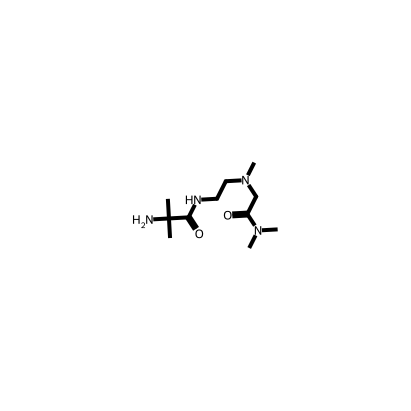 CN(CCNC(=O)C(C)(C)N)CC(=O)N(C)C